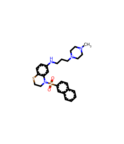 CN1CCN(CCCNc2ccc3c(c2)N(S(=O)(=O)c2ccc4ccccc4c2)CCS3)CC1